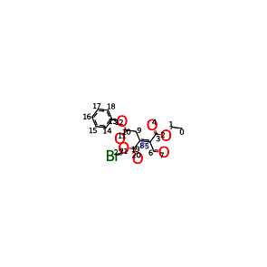 CCOC(=O)/C(C=O)=C(\CC(=O)Oc1ccccc1)C(=O)OBr